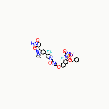 CCn1nc(C2CCC(=O)NC2=O)c2ccc(C3CCN(CC(=O)N4CC(Oc5ccc6cc(OCc7ccccc7)c(N7CC(=O)NS7(=O)=O)c(F)c6c5)C4)CC3(F)F)cc21